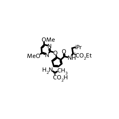 CCOC(=O)[C@H](CC(C)C)NC(=O)c1ccccc1Oc1nc(OC)cc(OC)n1.C[C@H](N)C(=O)O